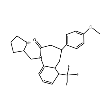 COc1ccc(C2CC(=O)N(CC3CCCN3)C3=CC=CC(C(F)(F)F)C3C2)cc1